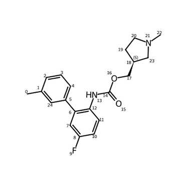 Cc1cccc(-c2cc(F)ccc2NC(=O)OC[C@H]2CCN(C)C2)c1